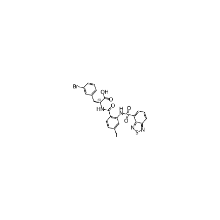 O=C(N[C@@H](Cc1cccc(Br)c1)C(=O)O)c1ccc(I)cc1NS(=O)(=O)c1cccc2nsnc12